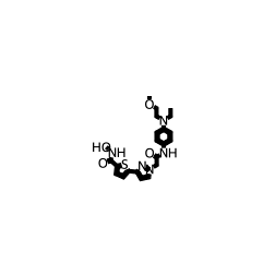 CCN(CCOC)c1ccc(NC(=O)Cn2ccc(-c3ccc(C(=O)NO)s3)n2)cc1